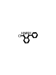 ClC1=c2ccccc2=C(c2ccccc2)NN1